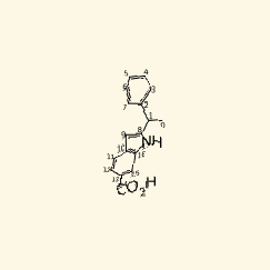 CC(c1ccccc1)c1cc2ccc(C(=O)O)cc2[nH]1